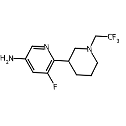 Nc1cnc(C2CCCN(CC(F)(F)F)C2)c(F)c1